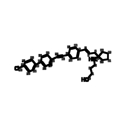 OCCCNC1(CC=Cc2ccc(C#Cc3ccc(-c4ccc(Cl)cc4)cn3)cc2)CCCC1